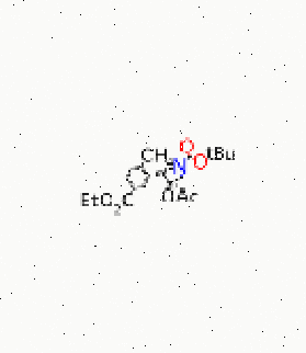 CCOC(=O)c1ccc(C)c([C@@H]2CN(C(=O)OC(C)(C)C)C[C@H]2OC(C)=O)c1